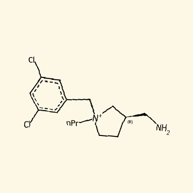 CCC[N+]1(Cc2cc(Cl)cc(Cl)c2)CC[C@H](CN)C1